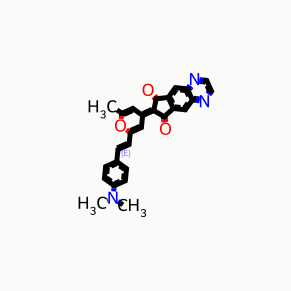 CC1=CC(=C2C(=O)c3cc4nccnc4cc3C2=O)C=C(/C=C/c2ccc(N(C)C)cc2)O1